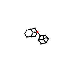 CC1(C)C2CCC(CB3C4CCCC3CCC4)C1C2